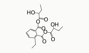 CCc1cccc(C(=O)OC(=O)C(O)CC)c1C(=O)OC(=O)C(O)CC